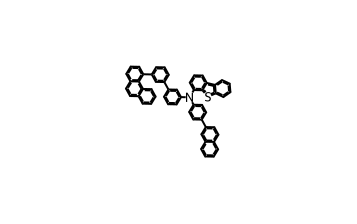 c1cc(-c2cccc(N(c3ccc(-c4ccc5ccccc5c4)cc3)c3cccc4c3sc3ccccc34)c2)cc(-c2cccc3ccc4ccccc4c23)c1